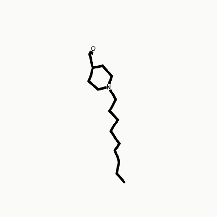 CCCCCCCCCN1CCC(C=O)CC1